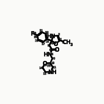 CC1=CNC(CC(=O)NC[C@H]2CNCCO2)(c2ccc(F)cc2)O1